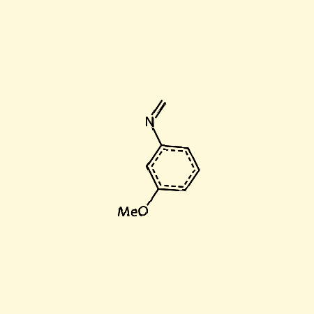 C=Nc1cccc(OC)c1